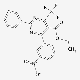 CCOC(=O)c1c(-c2cccc([N+](=O)[O-])c2)nc(-c2ccccc2)nc1C(F)(F)F